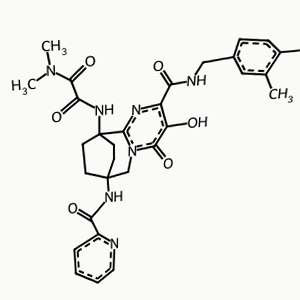 Cc1cc(CNC(=O)c2nc3n(c(=O)c2O)CC2(NC(=O)c4ccccn4)CCC3(NC(=O)C(=O)N(C)C)CC2)ccc1F